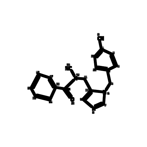 N#Cc1ccc(Cn2cncc2CN(C#N)C(=O)c2ccccc2)cc1